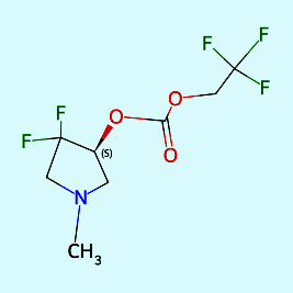 CN1C[C@H](OC(=O)OCC(F)(F)F)C(F)(F)C1